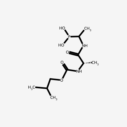 CC(C)COC(=O)N[C@@H](C)C(=O)NC(C)P(O)O